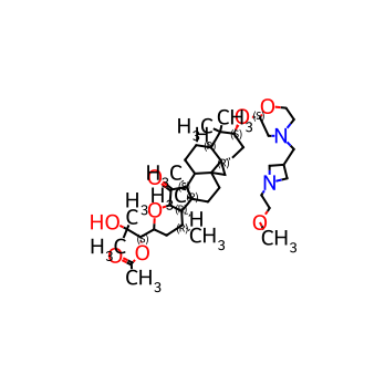 COCCN1CC(CN2CCO[C@@H](O[C@H]3CC[C@]45CC46CC[C@]4(C)[C@@H]7C(OC([C@H](OC(C)=O)C(C)(C)O)C[C@H]7C)C(=O)[C@@]4(C)C6CC[C@H]5C3(C)C)C2)C1